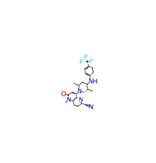 CC1CN(c2cc(=O)n(C)c3ccc(C#N)nc23)C(C)CC1Nc1ccc(C(F)(F)F)cc1